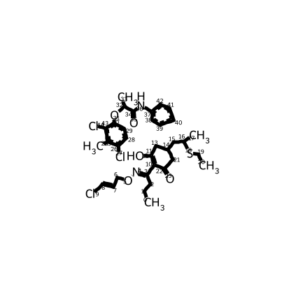 CCC/C(=N\OC/C=C/Cl)C1=C(O)CC(CC(C)SCC)CC1=O.Cc1c(Cl)ccc(OC(C)C(=O)Nc2ccccc2)c1Cl